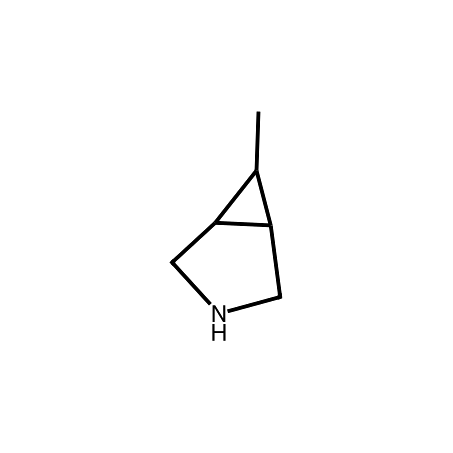 CC1C2CNCC12